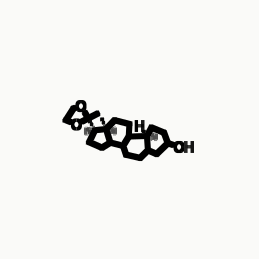 CC1([C@H]2CCC3C4CCC5CC(O)CC[C@@H]5C4CC[C@@]32C)OCCO1